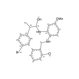 COc1ccc(NCc2ccccc2Cl)c(NC(O)C(C)c2ccc(Br)cc2)c1